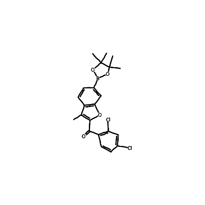 Cc1c(C(=O)c2ccc(Cl)cc2Cl)oc2cc(B3OC(C)(C)C(C)(C)O3)ccc12